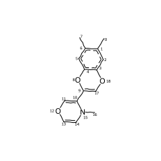 Cc1cc2c(cc1C)OC(C1=COC=CN1C)=CO2